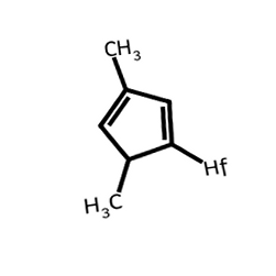 CC1=CC(C)[C]([Hf])=C1